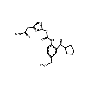 CNC(=O)Cc1csc(NC(=O)Nc2ccc(CC(=O)O)cc2C(=O)C2CCCC2)n1